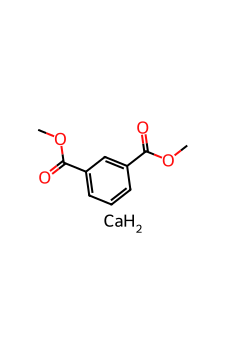 COC(=O)c1cccc(C(=O)OC)c1.[CaH2]